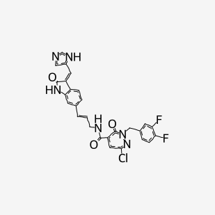 O=C1Nc2cc(/C=C/CNC(=O)c3cc(Cl)nn(Cc4ccc(F)c(F)c4)c3=O)ccc2C1=Cc1cnc[nH]1